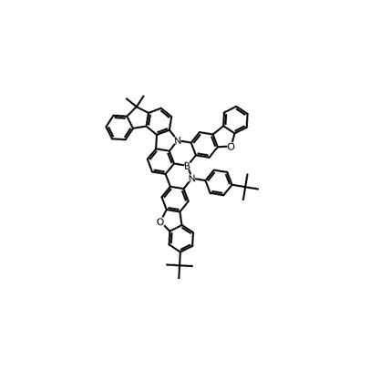 CC(C)(C)c1ccc(N2B3c4cc5oc6ccccc6c5cc4-n4c5ccc6c(c5c5ccc(c3c54)-c3cc4oc5cc(C(C)(C)C)ccc5c4cc32)-c2ccccc2C6(C)C)cc1